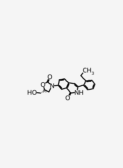 CCc1ccccc1-c1cc2ccc(N3C[C@H](CO)OC3=O)cc2c(=O)[nH]1